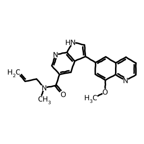 C=CCN(C)C(=O)c1cnc2[nH]cc(-c3cc(OC)c4ncccc4c3)c2c1